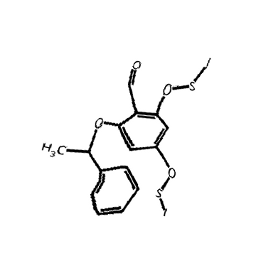 CC(Oc1cc(OSI)cc(OSI)c1C=O)c1ccccc1